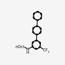 CCCCCCCCNc1cc(-c2ccc(-c3ccccc3)cc2)cc(C(F)(F)F)c1